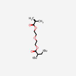 C=C(C)C(=O)OCCOCCOC(=O)C(CC(C)(C)C)C(C)(C)C